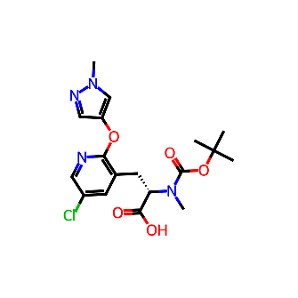 CN(C(=O)OC(C)(C)C)[C@@H](Cc1cc(Cl)cnc1Oc1cnn(C)c1)C(=O)O